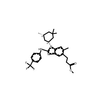 COC(=O)CCc1cc2nc(Nc3ccc(C(F)(F)F)cc3)n([C@@H]3C[C@H](C)CC(C)(C)C3)c2cc1C